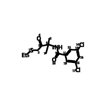 CCSCC(=O)C(C)(C)NC(=O)c1cc(Cl)cc(Cl)c1